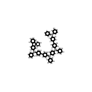 c1ccc(N(c2ccccc2)c2ccc(-c3ccc(N(c4ccccc4)c4ccc(N(c5ccccc5)c5ccc(-c6ccc(N(c7ccccc7)c7ccc8c(c7)C7(CCCC7)c7ccccc7-8)cc6)cc5)cc4)cc3)cc2)cc1